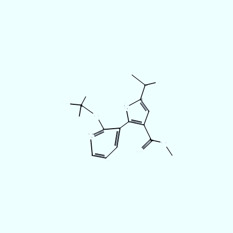 COC(=O)c1cc(C(C)C)[nH]c1-c1cccnc1OC(F)(F)F